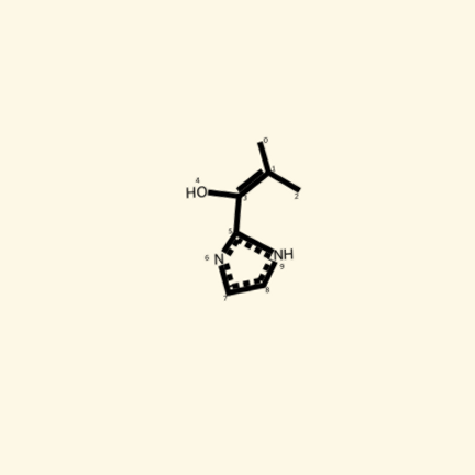 CC(C)=C(O)c1ncc[nH]1